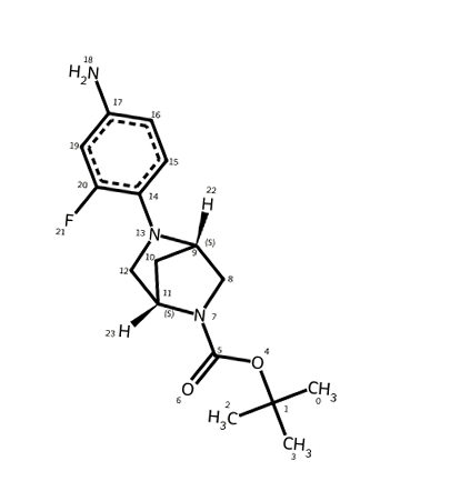 CC(C)(C)OC(=O)N1C[C@@H]2C[C@H]1CN2c1ccc(N)cc1F